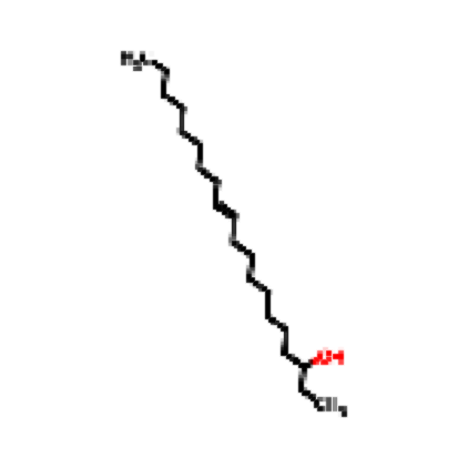 CCCCCCCCC=CCCCCCCCC(O)CC